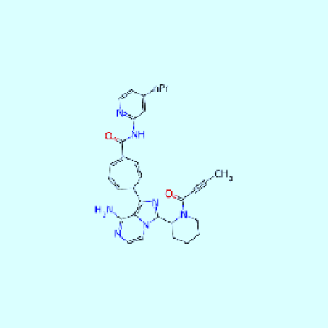 CC#CC(=O)N1CCCCC1c1nc(C2C=CC=C(C(=O)Nc3cc(CCC)ccn3)C=C2)c2c(N)nccn12